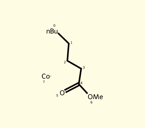 CCCCCCCC(=O)OC.[Co]